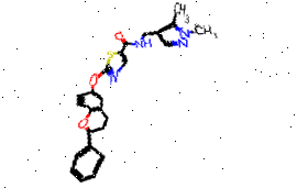 Cc1c(CNC(=O)c2cnc(Oc3ccc4c(c3)CCC(c3ccccc3)O4)s2)cnn1C